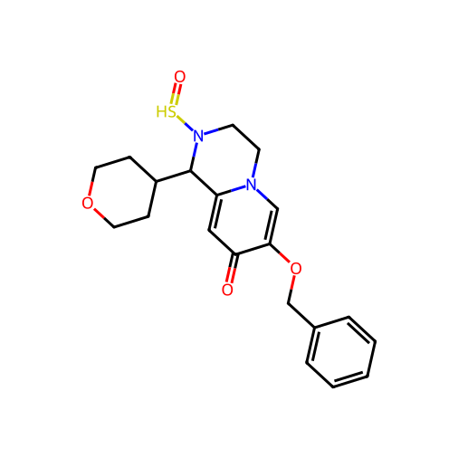 O=[SH]N1CCn2cc(OCc3ccccc3)c(=O)cc2C1C1CCOCC1